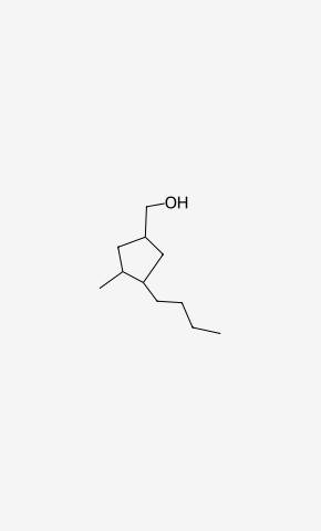 CCCCC1CC(CO)CC1C